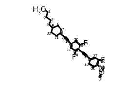 CCCCCC1CCC(C#Cc2cc(F)c(C#Cc3ccc(N=C=S)c(F)c3)c(F)c2)CC1